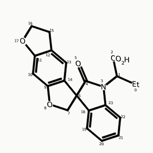 CCC(C(=O)O)N1C(=O)C2(COc3cc4c(cc32)CCO4)c2ccccc21